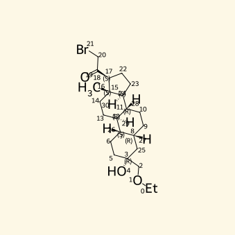 CCOC[C@@]1(O)CC[C@H]2[C@H](CC[C@@H]3[C@@H]2CC[C@]2(C)[C@@H](C(=O)CBr)CC[C@@H]32)C1